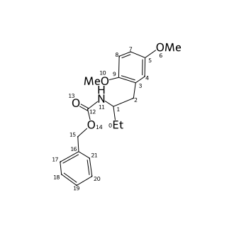 CCC(Cc1cc(OC)ccc1OC)NC(=O)OCc1ccccc1